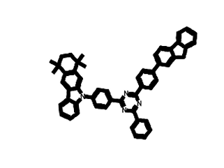 CC1(C)CCC(C)(C)c2cc3c(cc21)c1ccccc1n3-c1ccc(-c2nc(-c3ccccc3)nc(-c3ccc(-c4ccc5c(c4)Cc4ccccc4-5)cc3)n2)cc1